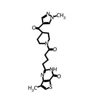 Cc1csc2c(=O)[nH]c(CCCC(=O)N3CCC(C(=O)c4cnn(C)c4)CC3)nc12